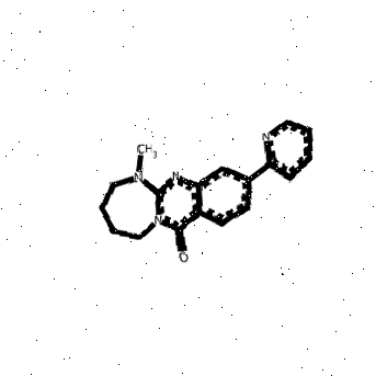 CN1CCCCn2c1nc1cc(-c3ccccn3)ccc1c2=O